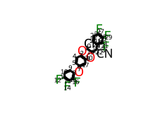 CC(Oc1ccc(Oc2ccc(F)c(F)c2F)cc1)C(=O)C(C#N)c1ccc(F)c(F)c1F